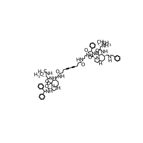 CC[C@H](NC)C(=O)N[C@@H]1C(=O)N2[C@@H](CC[C@@H]1CNC(=O)CCC#CC#CCCC(=O)NCCNC(=O)[C@@H](NC(=O)[C@@H]1CC[C@@H]3CC[C@H](CNCc4ccccc4)[C@H](NC(=O)[C@H](CC)NC)C(=O)N31)c1ccccc1)CC[C@H]2C(=O)NC(c1ccccc1)c1ccccc1